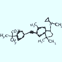 Cc1cc2c(cc1C#Cc1ccc(C(C)(C)C(=O)O)cc1)C(C)(C)CCC2N(C)C1CC1